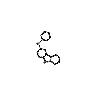 c1ccc(Pc2ccc3[pH]c4ccccc4c3c2)cc1